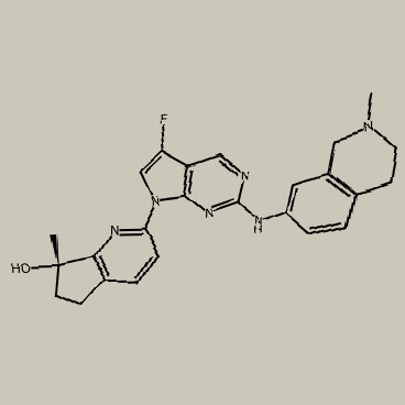 CN1CCc2ccc(Nc3ncc4c(F)cn(-c5ccc6c(n5)[C@@](C)(O)CC6)c4n3)cc2C1